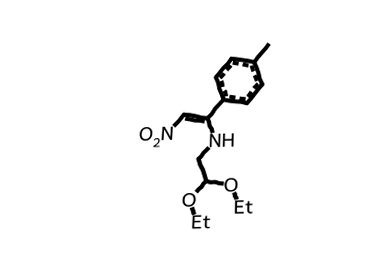 CCOC(CNC(=C[N+](=O)[O-])c1ccc(C)cc1)OCC